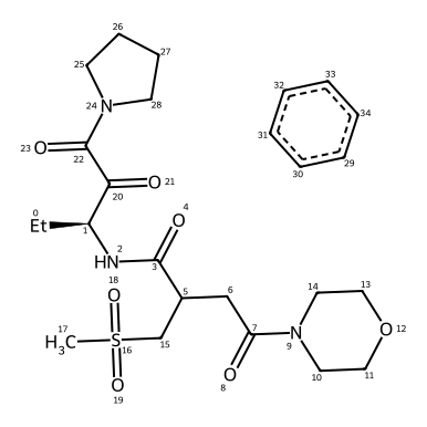 CC[C@H](NC(=O)C(CC(=O)N1CCOCC1)CS(C)(=O)=O)C(=O)C(=O)N1CCCC1.c1ccccc1